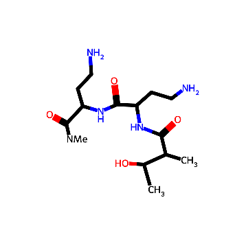 CNC(=O)C(CCN)NC(=O)C(CCN)NC(=O)C(C)C(C)O